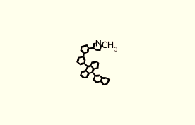 Cc1ccc(-c2cccc(-c3cccc(-c4c5ccccc5c(-c5ccc6ccccc6c5)c5ccccc45)c3)c2)cn1